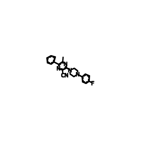 Cc1nc(N2CCN(c3ccc(F)cc3)CC2)c(C#N)nc1-c1ccccc1